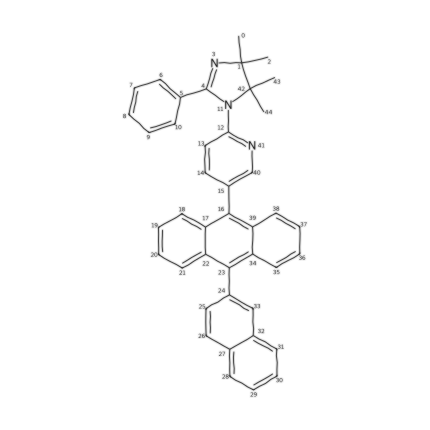 CC1(C)N=C(c2ccccc2)N(c2ccc(-c3c4ccccc4c(-c4ccc5ccccc5c4)c4ccccc34)cn2)C1(C)C